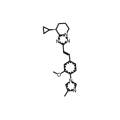 COc1cc(/C=C/c2nc3n(n2)CCC[C@@H]3C2CC2)ccc1-n1cnc(C)c1